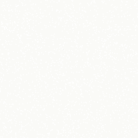 C=C(C)c1c(C)sc2c1CCC(CC)C2